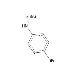 CC[C@@H](C)Nc1ccc(C(C)C)nc1